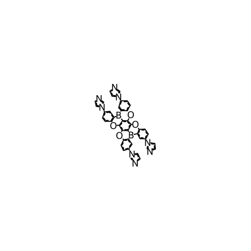 c1cn(-c2ccc3c(c2)B2c4cc(-n5ccnc5)ccc4Oc4c5c6c(c(c42)O3)Oc2ccc(-n3ccnc3)cc2B6c2cc(-n3ccnc3)ccc2O5)cn1